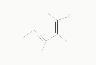 C/[C]=C(\C)C(C)=C(C)CC